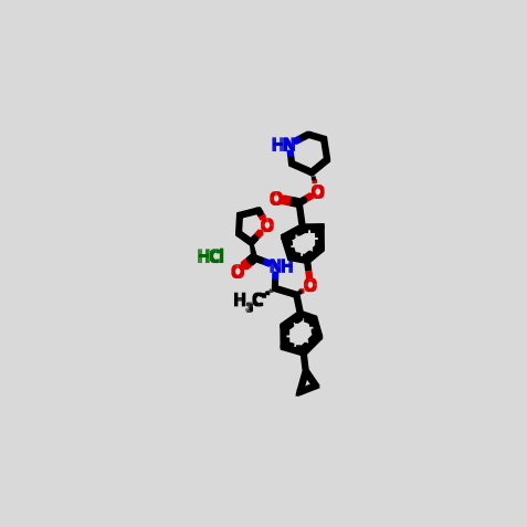 C[C@H](NC(=O)[C@H]1CCCO1)[C@H](Oc1ccc(C(=O)O[C@H]2CCCNC2)cc1)c1ccc(C2CC2)cc1.Cl